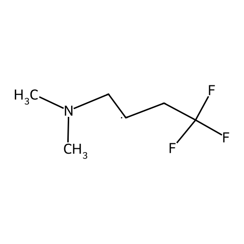 CN(C)C[CH]CC(F)(F)F